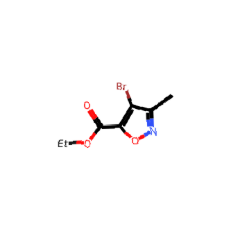 CCOC(=O)c1onc(C)c1Br